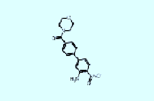 Nc1cc(-c2ccc(C(=O)N3CCOCC3)cc2)ccc1[N+](=O)[O-]